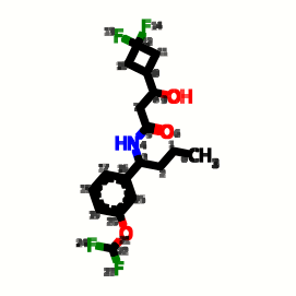 CCCC(NC(=O)CC(O)C1CC(F)(F)C1)c1cccc(OC(F)F)c1